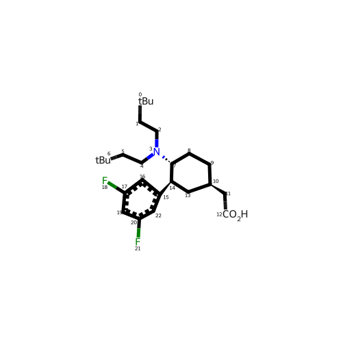 CC(C)(C)CCN(CCC(C)(C)C)[C@@H]1CC[C@@H](CC(=O)O)C[C@H]1c1cc(F)cc(F)c1